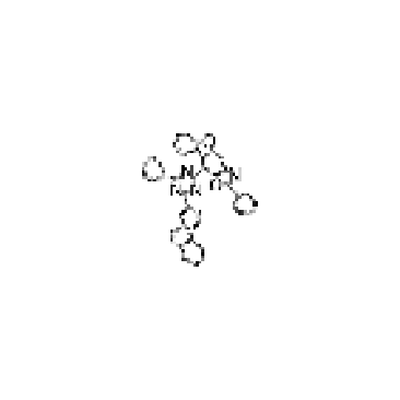 c1ccc(-c2nc(-c3ccc4c(ccc5ccccc54)c3)nc(-c3c4oc(-c5ccccc5)nc4cc4oc5ccccc5c34)n2)cc1